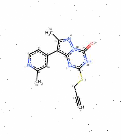 C#CCSc1nc2c(-c3ccnc(C)c3)c(C)nn2c(=O)[nH]1